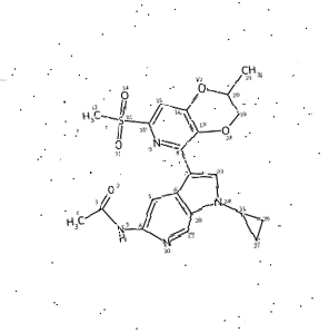 CC(=O)Nc1cc2c(-c3nc(S(C)(=O)=O)cc4c3OCC(C)O4)cn(C3CC3)c2cn1